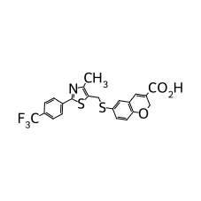 Cc1nc(-c2ccc(C(F)(F)F)cc2)sc1CSc1ccc2c(c1)C=C(C(=O)O)CO2